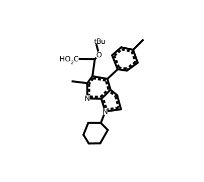 Cc1ccc(-c2c(C(OC(C)(C)C)C(=O)O)c(C)nc3c2ccn3C2CCCCC2)cc1